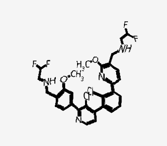 COc1cc(-c2nccc(-c3cccc(-c4ccc(CNCC(F)F)c(OC)n4)c3Cl)c2Cl)ccc1CNCC(F)F